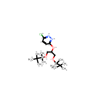 CC(C)(C)[Si](C)(C)OCC(CO[Si](C)(C)C(C)(C)C)Oc1ccc(Cl)nn1